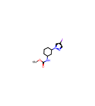 CC(C)(C)OC(=O)NC1CCCC(n2cc(I)cn2)C1